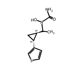 CC([C@@H]1C[C@H]1c1ccsc1)N(O)C(N)=O